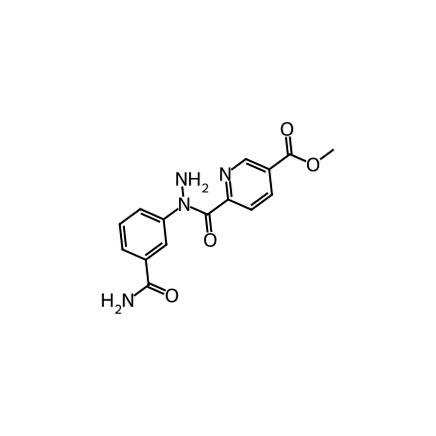 COC(=O)c1ccc(C(=O)N(N)c2cccc(C(N)=O)c2)nc1